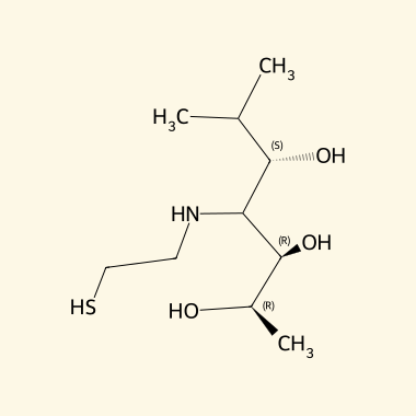 CC(C)[C@H](O)C(NCCS)[C@@H](O)[C@@H](C)O